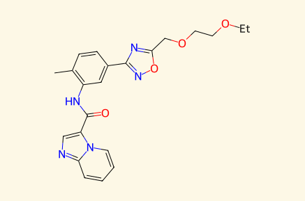 CCOCCOCc1nc(-c2ccc(C)c(NC(=O)c3cnc4ccccn34)c2)no1